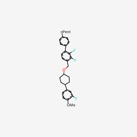 CCCCCc1ccc(-c2ccc(COC3CCC(c4ccc(OC)c(F)c4)CC3)c(F)c2F)cc1